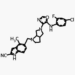 Cc1c(CN2CCC3CN(c4ncoc4Nc4ccc(Cl)cc4F)CC32)ccc2[nH]c(C#N)cc12